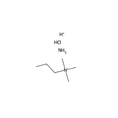 CCC[N+](C)(C)C.Cl.N.[H+]